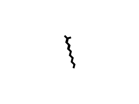 CCCCCC/C=[C]/C=C(C)C